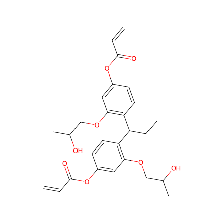 C=CC(=O)Oc1ccc(C(CC)c2ccc(OC(=O)C=C)cc2OCC(C)O)c(OCC(C)O)c1